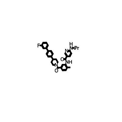 Cc1ccc(C(=O)N2CCC(c3ccc(-c4cccc(F)c4)cc3)CC2)cc1NC(=O)c1ccc(NC(C)C)nc1